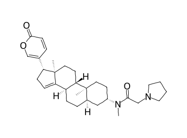 CN(C(=O)CN1CCCC1)[C@H]1CC[C@@]2(C)[C@H](CC[C@H]3C4=CC[C@H](c5ccc(=O)oc5)[C@@]4(C)CC[C@@H]32)C1